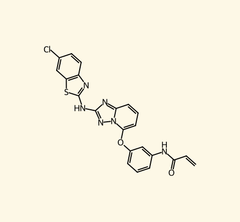 C=CC(=O)Nc1cccc(Oc2cccc3nc(Nc4nc5ccc(Cl)cc5s4)nn23)c1